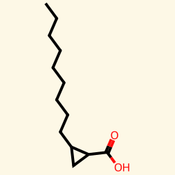 CCCCCCCCCC1CC1C(=O)O